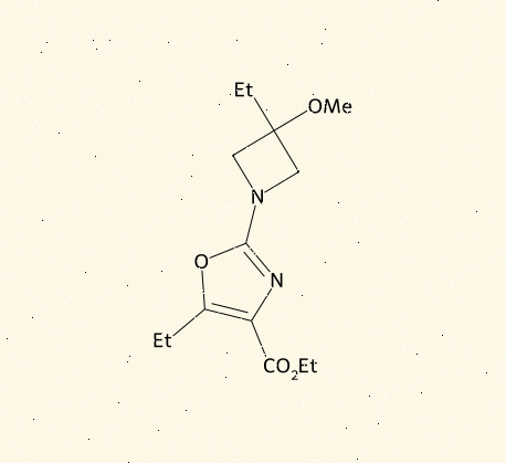 CCOC(=O)c1nc(N2CC(CC)(OC)C2)oc1CC